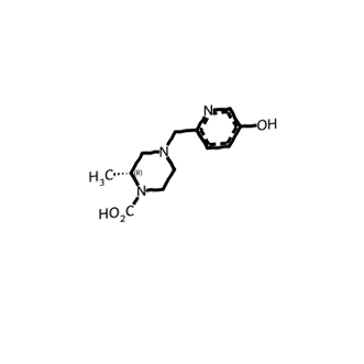 C[C@@H]1CN(Cc2ccc(O)cn2)CCN1C(=O)O